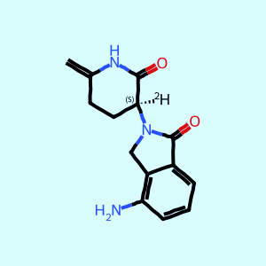 [2H][C@]1(N2Cc3c(N)cccc3C2=O)CCC(=C)NC1=O